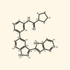 O=C(Nc1cncc(-c2cnc3[nH]nc(-c4cc5cnccc5[nH]4)c3c2)c1)C1CCCC1